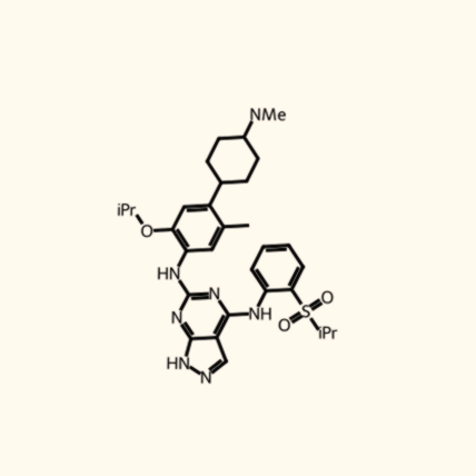 CNC1CCC(c2cc(OC(C)C)c(Nc3nc(Nc4ccccc4S(=O)(=O)C(C)C)c4cn[nH]c4n3)cc2C)CC1